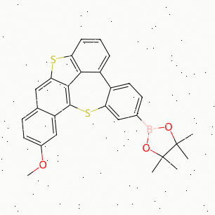 COc1ccc2cc3sc4cccc5c6ccc(B7OC(C)(C)C(C)(C)O7)cc6sc(c2c1)c3c45